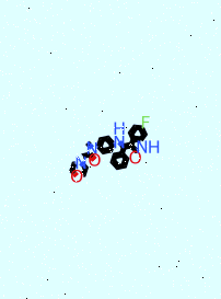 CN(C(=O)CN1CCOCC1)c1ccc(NC(=C2C(=O)Nc3cc(F)ccc32)c2ccccc2)cc1